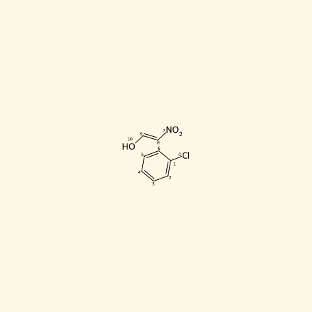 Clc1ccccc1.O=[N+]([O-])C=CO